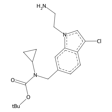 CC(C)(C)OC(=O)N(Cc1ccc2c(Cl)cn(CCN)c2c1)C1CC1